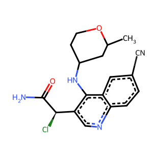 CC1CC(Nc2c([C@@H](Cl)C(N)=O)cnc3ccc(C#N)cc23)CCO1